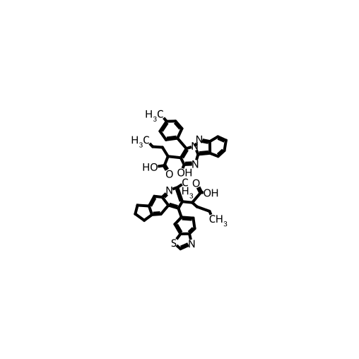 CCCC(C(=O)O)c1c(C)nc2cc3c(cc2c1-c1ccc2ncsc2c1)CCC3.CCCC(C(=O)O)c1c(O)nc2c3ccccc3nn2c1-c1ccc(C)cc1